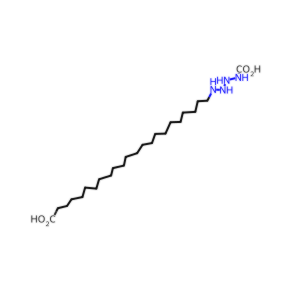 O=C(O)CCCCCCCCCCCCCCCCCCCCCCNNNNC(=O)O